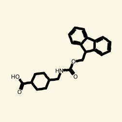 O=C(NCC1CCC(C(=O)O)CC1)OCC1c2ccccc2-c2ccccc21